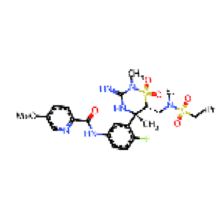 CCN(C[C@@H]1[C@](C)(c2cc(NC(=O)c3ccc(OC)cn3)ccc2F)NC(=N)N(C)S1(=O)=O)S(=O)(=O)CC(C)C